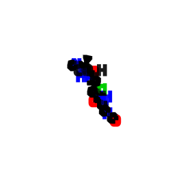 Cc1c(NC(=O)c2cc(C3CC3)c(CN3CCCC[C@H]3C(=O)O)cn2)cccc1-c1cccc(NC(=O)c2cc3c(cn2)CN(C2CCOCC2)CC3)c1Cl